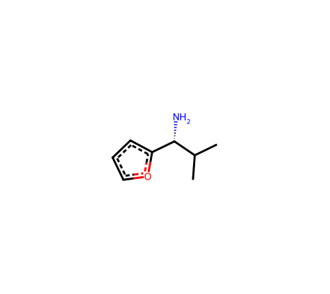 CC(C)[C@@H](N)c1ccco1